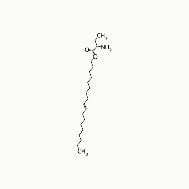 CCCCCCCCC=CCCCCCCCCOC(=O)C(N)CC